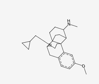 CNC1CCC23CCC1C21CCN(CC2CC2)C3Cc2ccc(OC)cc21